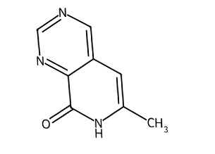 Cc1cc2cncnc2c(=O)[nH]1